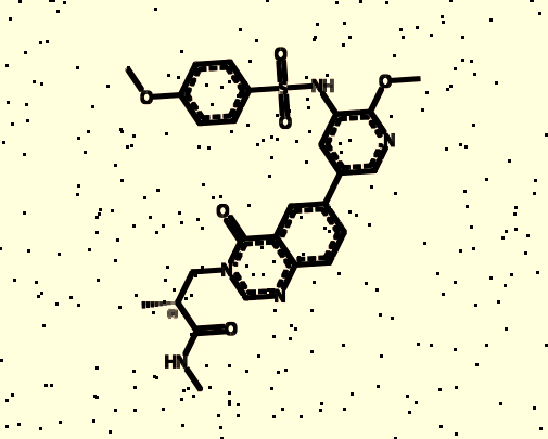 CNC(=O)[C@H](C)Cn1cnc2ccc(-c3cnc(OC)c(NS(=O)(=O)c4ccc(OC)cc4)c3)cc2c1=O